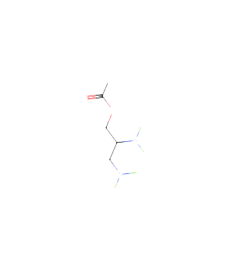 O=C(OCC(CN(F)F)N(F)F)C(F)(F)F